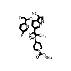 Cc1c(-c2cc(OC(CF)c3ccc(F)cn3)c3c(C#N)cnn3c2)nnn1C1CCN(C(=O)OC(C)(C)C)CC1